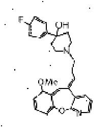 COC1C=CC=C2Oc3ncccc3C(=CCCN3CCC(O)(c4ccc(F)cc4)CC3)C=C21